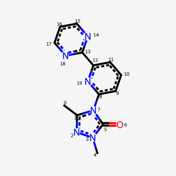 Cc1nn(C)c(=O)n1-c1cccc(-c2ncccn2)n1